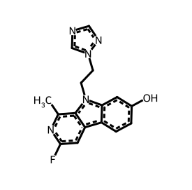 Cc1nc(F)cc2c3ccc(O)cc3n(CCn3cncn3)c12